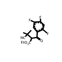 CCOC(=O)C(C(=O)c1cc(F)c(F)cc1F)C(C)(C)C#N